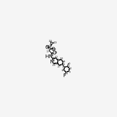 Cc1ccc(F)cc1-c1ccc2cc(NC(=O)CS(=O)(=O)C3CC3)ncc2c1